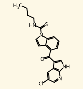 CCCCNC(=S)n1ccc2c(C(=O)c3c[nH]c4ncc(Cl)cc34)cccc21